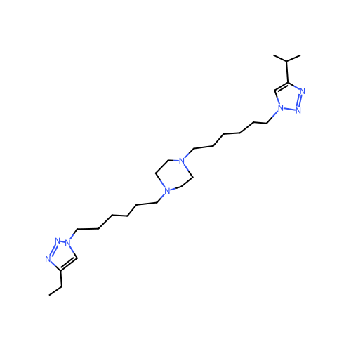 CCc1cn(CCCCCCN2CCN(CCCCCCn3cc(C(C)C)nn3)CC2)nn1